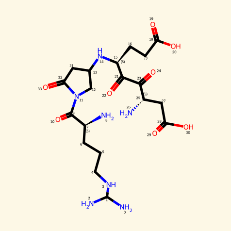 NC(N)NCCC[C@H](N)C(=O)N1CC(N[C@@H](CCC(=O)O)C(=O)C(=O)[C@@H](N)CC(=O)O)CC1=O